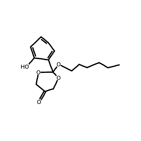 CCCCCCOC1(c2ccccc2O)OCC(=O)CO1